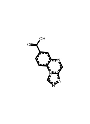 O=C(O)c1ccc2c(c1)ncc1nncn12